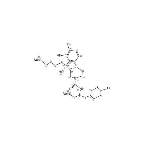 CNCC(CC1CCC(F)CC1)NC(=O)N1CCC[C@@H]([C@@](O)(CCCCOC)c2cccc(F)c2F)C1